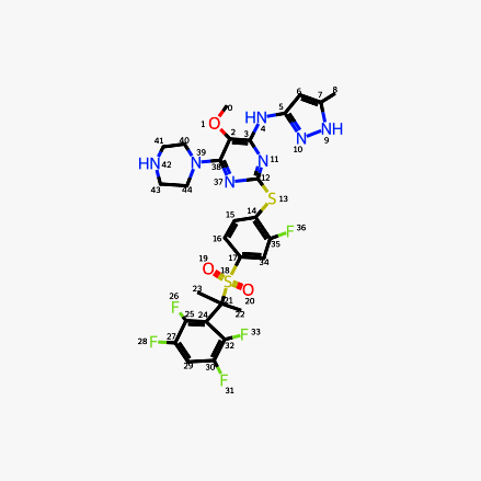 COc1c(Nc2cc(C)[nH]n2)nc(Sc2ccc(S(=O)(=O)C(C)(C)c3c(F)c(F)cc(F)c3F)cc2F)nc1N1CCNCC1